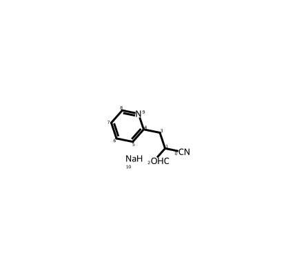 N#CC(C=O)Cc1ccccn1.[NaH]